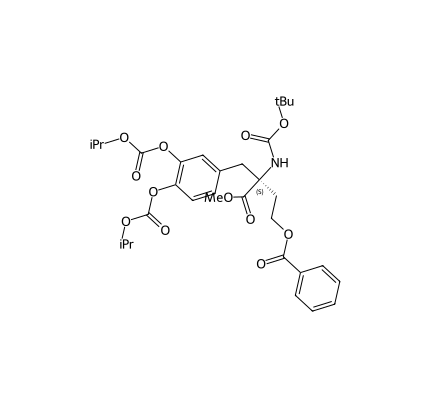 COC(=O)[C@@](CCOC(=O)c1ccccc1)(Cc1ccc(OC(=O)OC(C)C)c(OC(=O)OC(C)C)c1)NC(=O)OC(C)(C)C